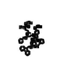 CC(C)N(CCCC[C@@H](CC(=O)OCc1ccccc1)NC(=O)N(Cc1ccc(OC(C)(C)C)cc1)NC(=O)[C@H](Cc1ccccc1)NC(=O)OCC1c2ccccc2-c2ccccc21)C(=O)OC(C)(C)C